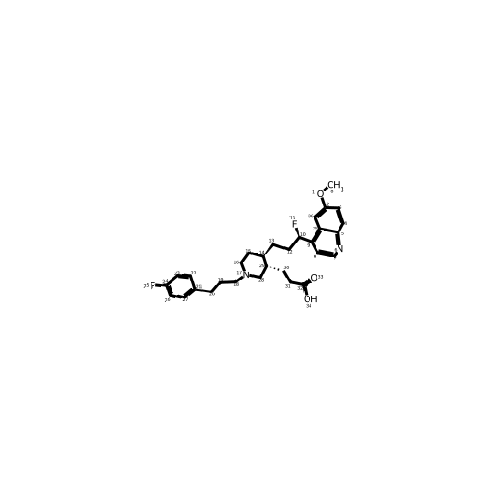 COc1ccc2nccc([C@H](F)CC[C@@H]3CCN(CCCc4ccc(F)cc4)C[C@H]3CCC(=O)O)c2c1